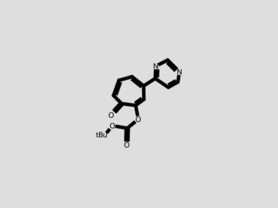 CC(C)(C)OC(=O)Oc1cc(-c2ccncn2)cccc1=O